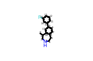 CC1CNCCc2ccc(-c3cccc(F)c3)cc21